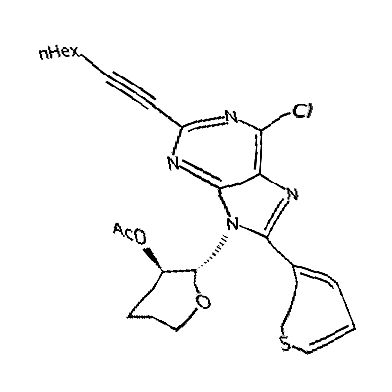 CCCCCCC#Cc1nc(Cl)c2nc(-c3cccs3)n([C@@H]3OCC[C@H]3OC(C)=O)c2n1